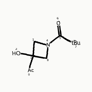 CC(=O)C1(O)CN(C(=O)C(C)(C)C)C1